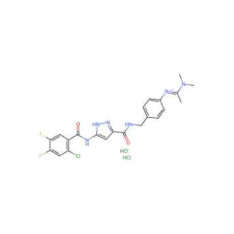 C/C(=N\c1ccc(CNC(=O)c2cc(NC(=O)c3cc(F)c(F)cc3Cl)[nH]n2)cc1)N(C)C.Cl.Cl